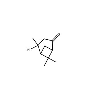 CC(C)C1(C)CC(=O)C2CC1C2(C)C